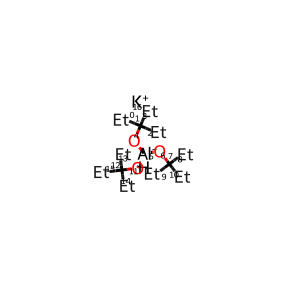 CCC(CC)(CC)[O][AlH-]([O]C(CC)(CC)CC)[O]C(CC)(CC)CC.[K+]